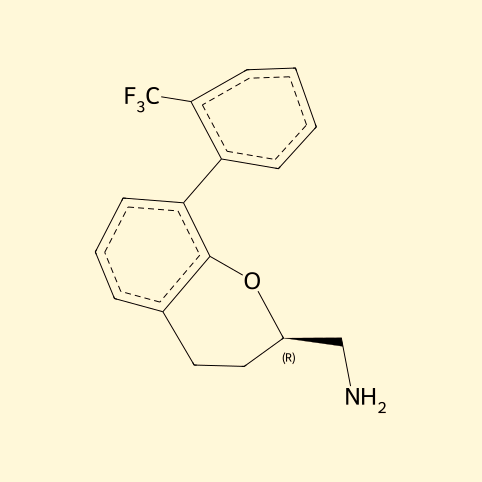 NC[C@H]1CCc2cccc(-c3ccccc3C(F)(F)F)c2O1